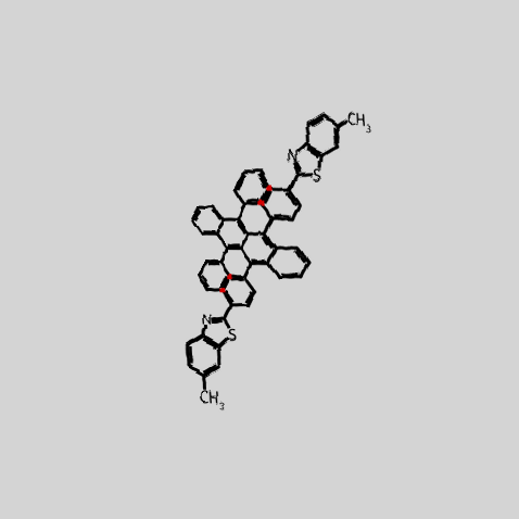 Cc1ccc2nc(-c3ccc(-c4c5ccccc5c(-c5ccc(-c6nc7ccc(C)cc7s6)cc5)c5c(-c6ccccc6)c6ccccc6c(-c6ccccc6)c45)cc3)sc2c1